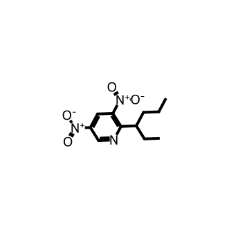 CCCC(CC)c1ncc([N+](=O)[O-])cc1[N+](=O)[O-]